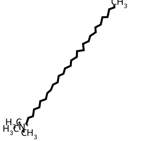 CCCCCCCCCCCCCCCCCCCCCCCCCCCCCC[N+](C)(C)C